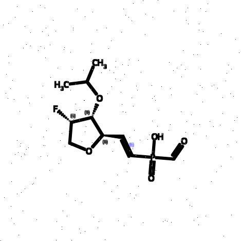 CC(C)O[C@H]1[C@@H](F)CO[C@@H]1/C=C/P(=O)(O)C=O